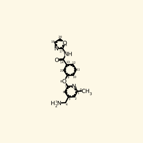 Cc1cc(CN)cc(Oc2cccc(C(=O)Nc3ncco3)c2)n1